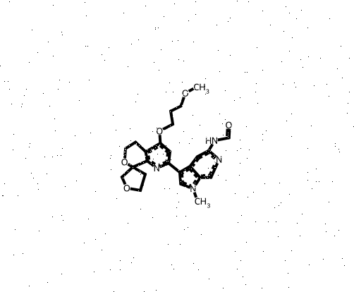 COCCCOc1cc(-c2cn(C)c3cnc(NC=O)cc23)nc2c1CCOC21CCOC1